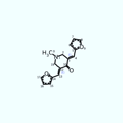 CN1C/C(=C\c2ccco2)C(=O)/C(=C/c2ccco2)C1